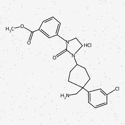 COC(=O)c1cccc(N2CCN(C3CCC(CN)(c4cccc(Cl)c4)CC3)C2=O)c1.Cl